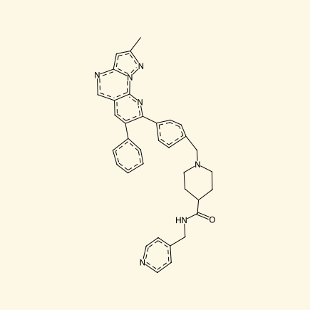 Cc1cc2ncc3cc(-c4ccccc4)c(-c4ccc(CN5CCC(C(=O)NCc6ccncc6)CC5)cc4)nc3n2n1